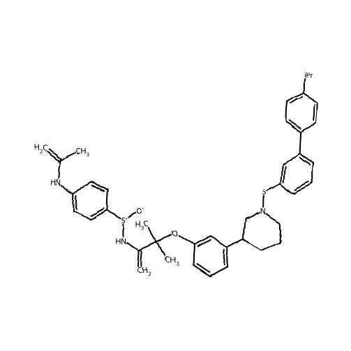 C=C(C)Nc1ccc([S+]([O-])NC(=C)C(C)(C)Oc2cccc(C3CCCN(Sc4cccc(-c5ccc(C(C)C)cc5)c4)C3)c2)cc1